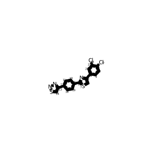 Clc1ccc(-c2csc(-c3ccc(-c4csnn4)cc3)n2)cc1Cl